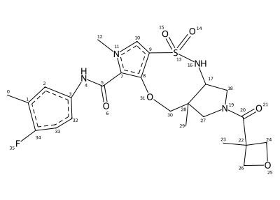 Cc1cc(NC(=O)c2c3c(cn2C)S(=O)(=O)NC2CN(C(=O)C4(C)COC4)CC2(C)CO3)ccc1F